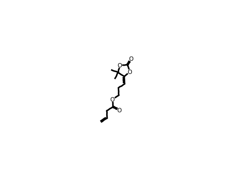 C=CCC(=O)OCC/C=C1/OC(=O)OC1(C)C